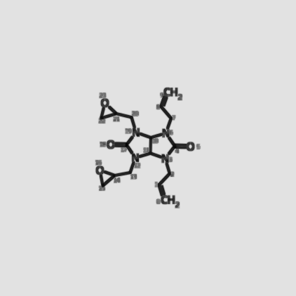 C=CCN1C(=O)N(CC=C)C2C1N(CC1CO1)C(=O)N2CC1CO1